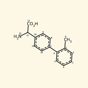 Cc1ccccc1-c1ccc(C(N)C(=O)O)cc1